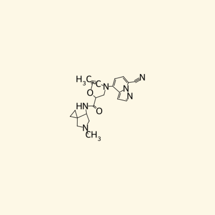 C[C@@H]1CN(c2ccc(C#N)n3nccc23)CC(C(=O)NC2CN(C)CC23CC3)O1